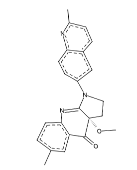 CO[C@@]12CCN(c3ccc4nc(C)ccc4c3)C1=Nc1ccc(C)cc1C2=O